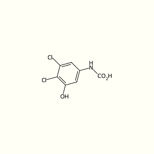 O=C(O)Nc1cc(O)c(Cl)c(Cl)c1